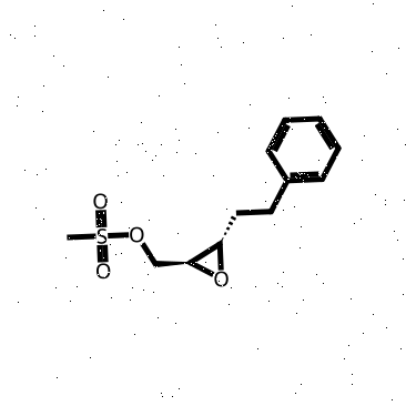 CS(=O)(=O)OC[C@@H]1O[C@H]1CCc1ccccc1